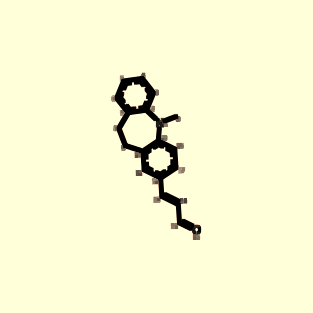 CN1c2ccccc2CCc2cc(/C=C/C=O)ccc21